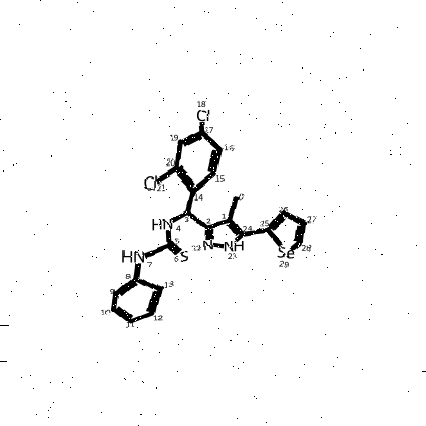 Cc1c(C(NC(=S)Nc2ccccc2)c2ccc(Cl)cc2Cl)n[nH]c1-c1ccc[se]1